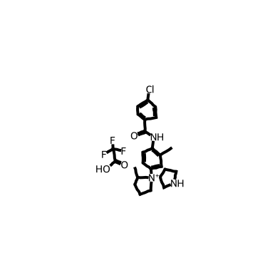 Cc1cc([N+]2(C3CCNC3)CCCC2C)ccc1NC(=O)c1ccc(Cl)cc1.O=C(O)C(F)(F)F